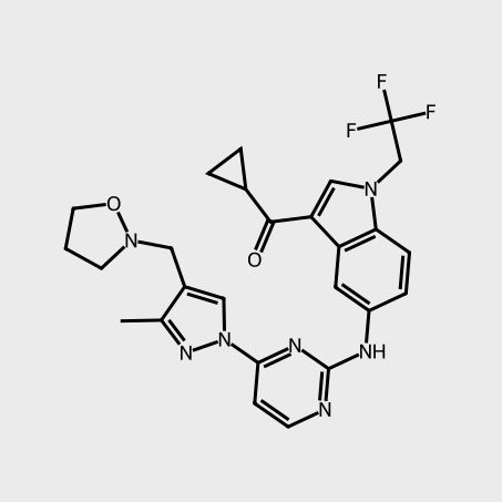 Cc1nn(-c2ccnc(Nc3ccc4c(c3)c(C(=O)C3CC3)cn4CC(F)(F)F)n2)cc1CN1CCCO1